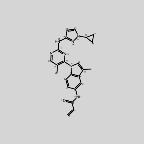 C=CC(=O)Nc1ccc2c(c1)c(C)cn2-c1nc(Nc2ccn(C3CC3)n2)ncc1C